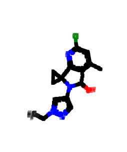 Cc1cc(Cl)nc2c1C(O)N(c1cnn(CC(F)(F)F)c1)C21CC1